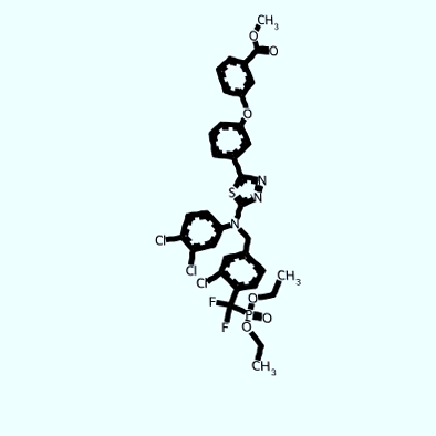 CCOP(=O)(OCC)C(F)(F)c1ccc(CN(c2ccc(Cl)c(Cl)c2)c2nnc(-c3cccc(Oc4cccc(C(=O)OC)c4)c3)s2)cc1Cl